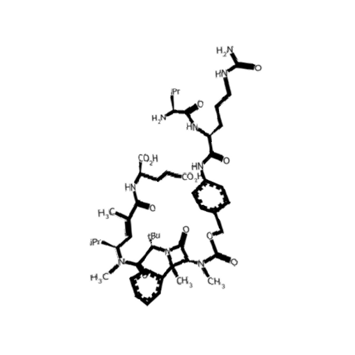 C/C(=C\[C@H](C(C)C)N(C)C(=O)[C@@H](N1C(=O)[C@@H](N(C)C(=O)OCc2ccc(NC(=O)[C@H](CCCNC(N)=O)NC(=O)[C@@H](N)C(C)C)cc2)C1(C)c1ccccc1)C(C)(C)C)C(=O)N[C@H](CCC(=O)O)C(=O)O